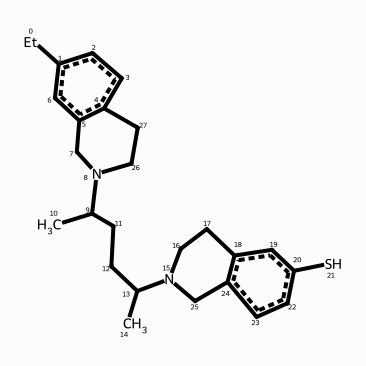 CCc1ccc2c(c1)CN(C(C)CCC(C)N1CCc3cc(S)ccc3C1)CC2